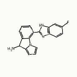 NC1c2cccc(-c3nc4ccc(F)cc4[nH]3)c2-n2cccc21